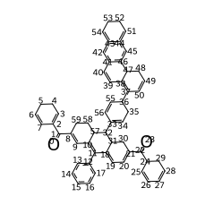 O=C(C1=CCCC=C1)C1=CC2=C(c3ccccc3)C3=CC=C(C(=O)C4C=CC=CC4)CC3C(C3=CCC(C4=C5C=Cc6cc7c(cc6C5CC=C4)=CCCC=7)C=C3)C2CC1